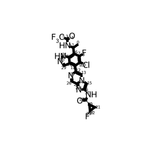 CC(NC(=O)C(F)(F)F)c1c(F)c(Cl)c(-c2cn3cc(NC(=O)[C@@H]4C[C@@H]4F)nc3cn2)c2cn[nH]c12